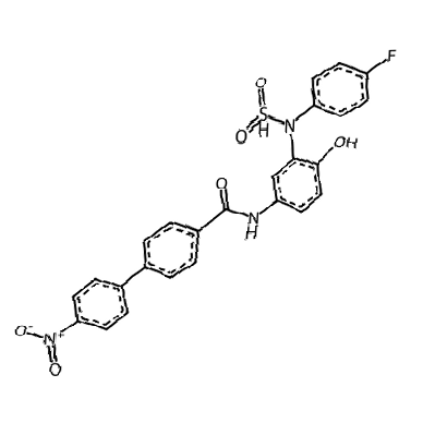 O=C(Nc1ccc(O)c(N(c2ccc(F)cc2)[SH](=O)=O)c1)c1ccc(-c2ccc([N+](=O)[O-])cc2)cc1